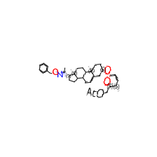 CC(=O)OC[C@H]1OC(O[C@H]2CC[C@@]3(C)C(=CCC4C3CC[C@@]3(C)C4CC[C@@H]3/C(C)=N/OCc3ccccc3)C2)C=C[C@@H]1C